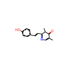 CC1=CN=C(C=Cc2ccc(O)cc2)C(C)C1=O